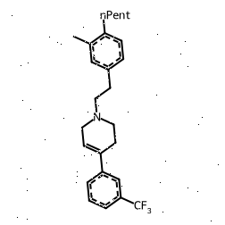 CCCCCc1ccc(CCN2CC=C(c3cccc(C(F)(F)F)c3)CC2)cc1C